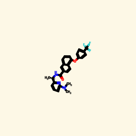 C[C@H](NC(=O)c1ccc2c(Oc3ccc(C(F)(F)F)cc3)cccc2c1)c1cccc(N(C)C)n1